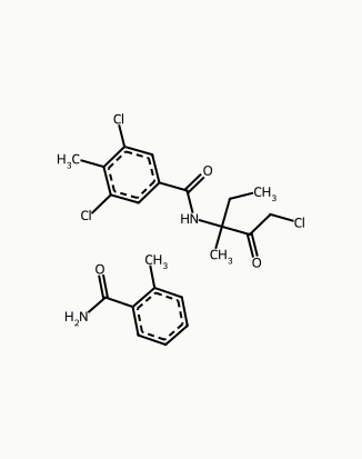 CCC(C)(NC(=O)c1cc(Cl)c(C)c(Cl)c1)C(=O)CCl.Cc1ccccc1C(N)=O